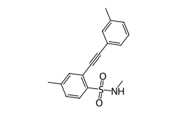 CNS(=O)(=O)c1ccc(C)cc1C#Cc1cccc(C)c1